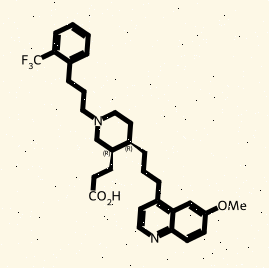 COc1ccc2nccc(CCC[C@@H]3CCN(CCCc4ccccc4C(F)(F)F)C[C@@H]3CCC(=O)O)c2c1